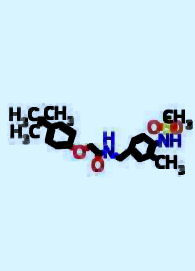 Cc1cc(CNC(=O)COc2ccc(C(C)(C)C)cc2)ccc1NS(C)(=O)=O